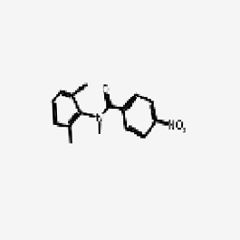 Cc1cccc(C)c1N(C)C(=O)c1ccc([N+](=O)[O-])cc1